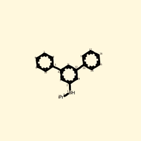 CC(C)Bc1cc(-c2ccccc2)cc(-c2ccccc2)c1